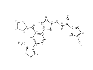 CN1CCN=C1c1ccc(C2=NOC(CNC(=O)c3ccc(Cl)s3)C2)c(OC2CCCC2)c1